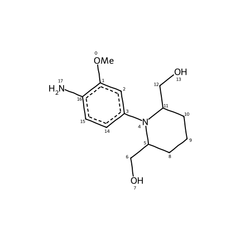 COc1cc(N2C(CO)CCCC2CO)ccc1N